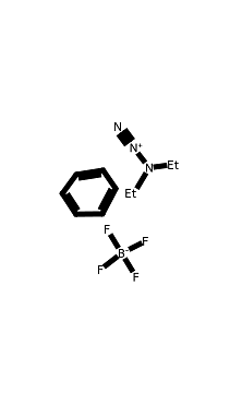 CCN(CC)[N+]#N.F[B-](F)(F)F.c1ccccc1